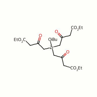 CCOC(=O)CC(=O)[CH2][Zr]([CH2]C(=O)CC(=O)OCC)([CH2]C(=O)CC(=O)OCC)[O]CC(C)C